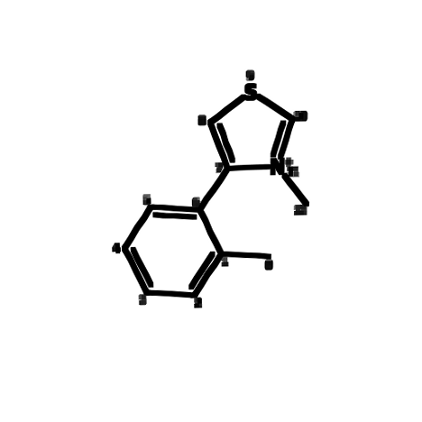 Cc1ccccc1-c1csc[n+]1C